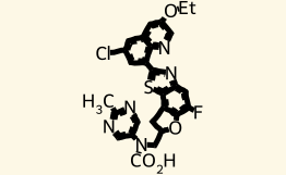 CCOc1cnc2c(-c3nc4cc(F)c5c(c4s3)CC(CN(C(=O)O)c3cnc(C)nc3)O5)cc(Cl)cc2c1